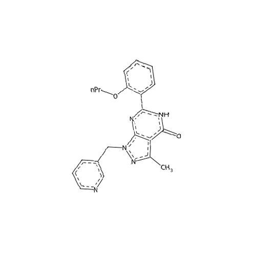 CCCOc1ccccc1-c1nc2c(c(C)nn2Cc2cccnc2)c(=O)[nH]1